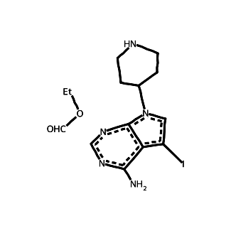 CCOC=O.Nc1ncnc2c1c(I)cn2C1CCNCC1